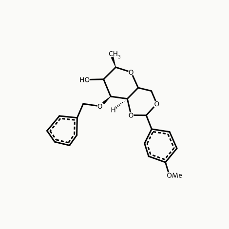 COc1ccc(C2OCC3O[C@H](C)C(O)[C@H](OCc4ccccc4)[C@@H]3O2)cc1